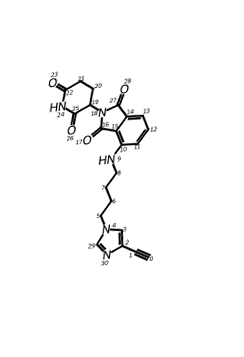 C#Cc1cn(CCCCNc2cccc3c2C(=O)N(C2CCC(=O)NC2=O)C3=O)cn1